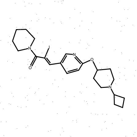 O=C(C(I)=Cc1ccc(OC2CCN(C3CCC3)CC2)nc1)N1CCCCC1